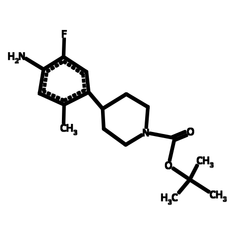 Cc1cc(N)c(F)cc1C1CCN(C(=O)OC(C)(C)C)CC1